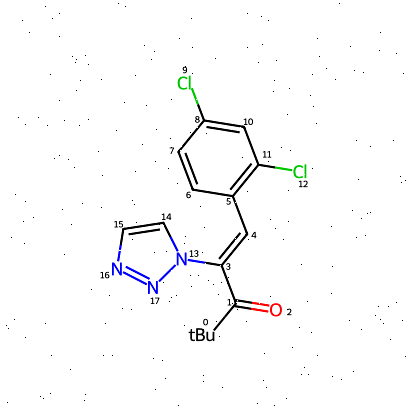 CC(C)(C)C(=O)C(=Cc1ccc(Cl)cc1Cl)n1ccnn1